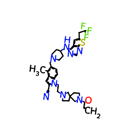 C=CC(=O)N1CCC2(CCN(CCn3c(C#N)cc4c(C)c(CN5CCC(Nc6ncnc7sc(CC(F)(F)F)cc67)CC5)ccc43)C2)C1